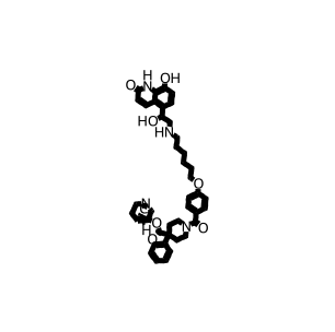 O=C(c1ccc(OCCCCCCNCC(O)c2ccc(O)c3[nH]c(=O)ccc23)cc1)N1CCC(C(=O)O[C@H]2CN3CCC2CC3)(c2ccccc2)CC1